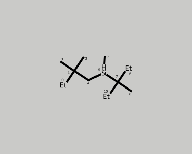 CCC(C)(C)C[SiH](C)C(C)(CC)CC